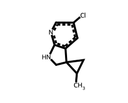 CC1CC12CNc1ncc(Cl)cc12